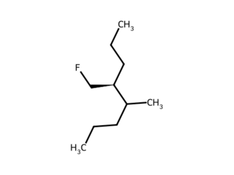 CCCC(C)[C@@H](CF)CCC